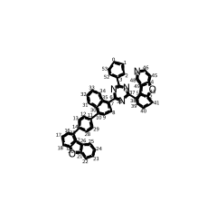 c1ccc(-c2nc(-c3ccc(-c4ccc(-c5cccc6oc7ccccc7c56)cc4)c4ccccc34)nc(-c3cccc4oc5ccncc5c34)n2)cc1